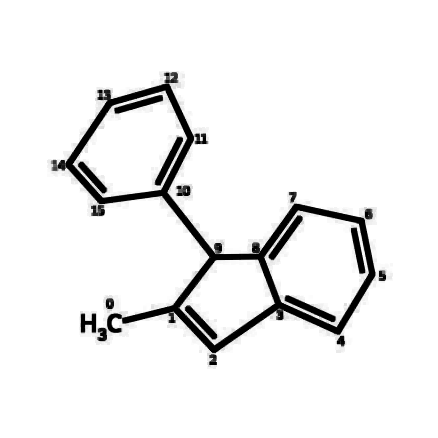 CC1=Cc2ccccc2C1c1ccccc1